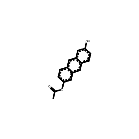 CC(=O)Oc1ccc2cc3cc(O)ccc3cc2c1